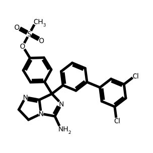 CS(=O)(=O)Oc1ccc(C2(c3cccc(-c4cc(Cl)cc(Cl)c4)c3)N=C(N)N3CCN=C32)cc1